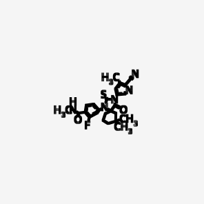 CNC(=O)c1ccc(N2C(=S)N(c3cnc(C#N)c(C)c3)C(=O)C23CCCC(C)(C)C3)cc1F